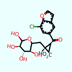 O=C(c1cc(Cl)c2occc2c1)[C@H]1C[C@@]1(CC1OC(O)[C@H](O)[C@@H](O)[C@@H]1O)C(=O)O